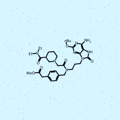 CCCCOc1nc(N)c2[nH]c(=O)n(CCCN(Cc3ccc(CC(=O)OC)cc3)C(=O)CN3CCCC(C(=O)N(CC)CC)C3)c2n1